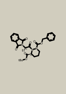 CC[C@@H](C(=O)N1[C@H](C(=O)OC(C)(C)C)CCCN1C(=O)OCc1ccccc1)N1C(=O)c2ccccc2C1=O